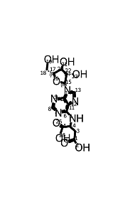 O=C(O)CC(Nc1ncnc2c1ncn2[C@@H]1O[C@H](CO)C(O)[C@@H]1O)C(=O)O